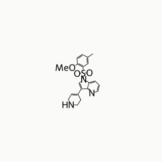 COc1ccc(C)cc1S(=O)(=O)n1cc(C2=CCNCC2)c2ncccc21